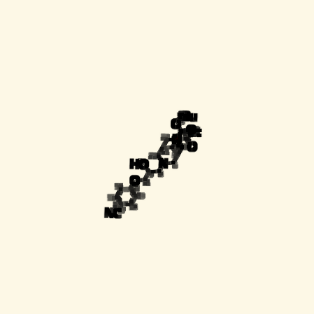 CCC(=O)OC1C2CN(CC(O)COc3ccc(C#N)cc3)CC1CN(C(=O)OC(C)(C)C)C2